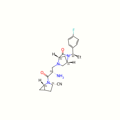 CC[C@H](c1ccc(F)cc1)N1C(=O)[C@@H]2C[C@H]1CN2C[C@H](N)C(=O)N1[C@H](C#N)CC2C[C@@H]21